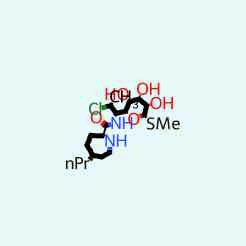 CCCC1CCN[C@H](C(=O)N[C@@H]([C@H]2O[C@H](SC)[C@H](O)[C@@H](O)[C@H]2O)[C@H](C)Cl)CC1